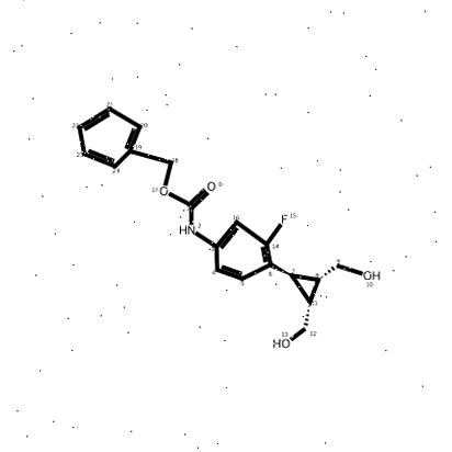 O=C(Nc1ccc([C@H]2[C@H](CO)[C@@H]2CO)c(F)c1)OCc1ccccc1